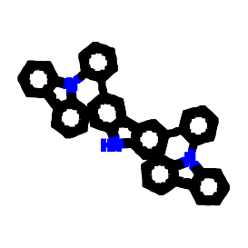 c1ccc(-n2c3ccccc3c3ccccc32)c(-c2ccc3[nH]c4ccc(-c5ccccc5-n5c6ccccc6c6ccccc65)cc4c3c2)c1